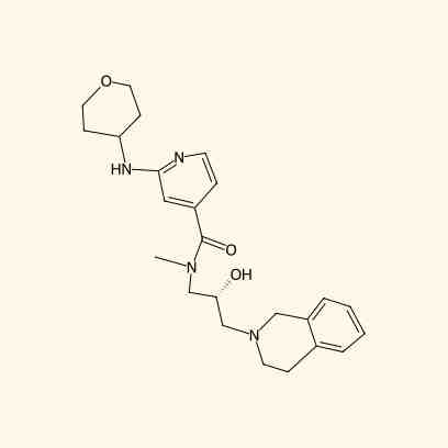 CN(C[C@H](O)CN1CCc2ccccc2C1)C(=O)c1ccnc(NC2CCOCC2)c1